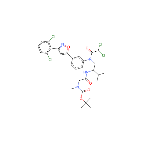 CC(C)C(CN(C(=O)C(Cl)Cl)c1cccc(-c2cc(-c3c(Cl)cccc3Cl)no2)c1)NC(=O)CN(C)C(=O)OC(C)(C)C